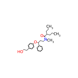 CCCC(CCC)C(=O)N(C)CCC(Oc1ccc(CCO)cc1)c1ccccc1